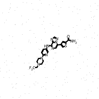 NC(=O)c1cc(-c2cnc(Nc3ccc(N4CCN(CC(F)(F)F)CC4)nc3)c3ncnn23)cs1